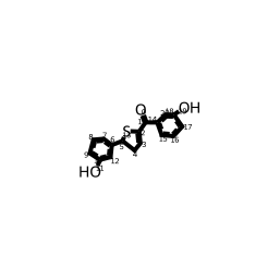 O=C(C1=CCC(c2cccc(O)c2)S1)c1cccc(O)c1